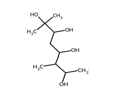 [CH2]C(O)C(C)C(O)CC(O)C(C)(C)O